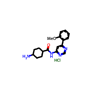 COc1ccccc1-c1cc(NC(=O)C2CCC(N)CC2)ncn1.Cl